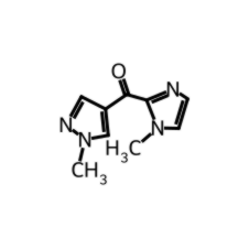 Cn1cc(C(=O)c2nccn2C)cn1